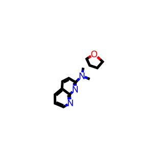 C1CCOC1.CN(C)c1ccc2cccnc2n1